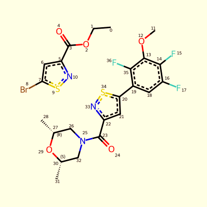 CCOC(=O)c1cc(Br)sn1.COc1c(F)c(F)cc(-c2cc(C(=O)N3C[C@@H](C)O[C@@H](C)C3)ns2)c1F